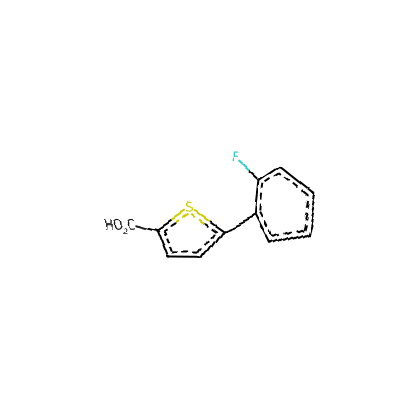 O=C(O)c1ccc(-c2ccccc2F)s1